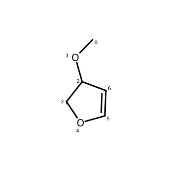 COC1[CH]OC=C1